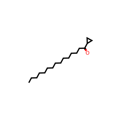 CCCCCCCCCCCCCCC(=O)C1CC1